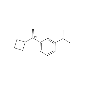 CC(C)c1cccc([C@H](C)C2CCC2)c1